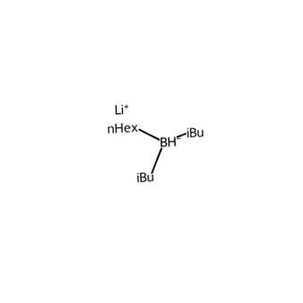 CCCCCC[BH-](C(C)CC)C(C)CC.[Li+]